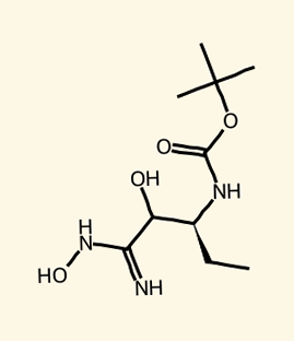 CC[C@H](NC(=O)OC(C)(C)C)C(O)C(=N)NO